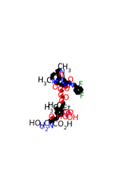 CCC(C)(COC(=O)OCOc1c2n(cc(C(=O)NCc3ccc(F)cc3F)c1=O)[C@@H]1CN(C2=O)[C@@H](C)CC[C@]12CC(C)=NO2)c1c(C)cc(CC(=O)[C@](N)(CC(=O)O)C(=O)O)cc1OP(=O)(O)O